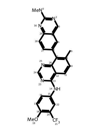 CNc1ncc2cc(-c3c(C)ccc4c(Nc5ccc(OC)c(C(F)(F)F)c5)ncnc34)ccc2n1